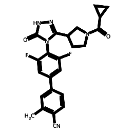 Cc1cc(-c2cc(F)c(-n3c(C4CCN(C(=O)C5CC5)C4)n[nH]c3=O)c(F)c2)ccc1C#N